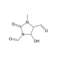 CN1C(=O)N(C=O)C(O)C1C=O